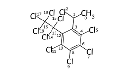 CC(Cl)c1c(Cl)c(Cl)c(Cl)c(Cl)c1C(Cl)(Cl)C(Cl)(Cl)Cl